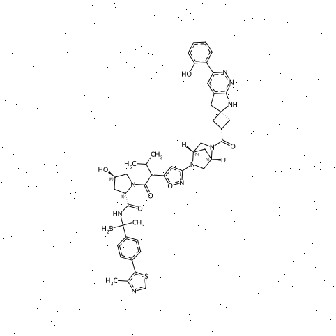 BC(C)(NC(=O)[C@@H]1C[C@@H](O)CN1C(=O)C(c1cc(N2C[C@@H]3C[C@H]2CN3C(=O)[C@H]2C[C@@]3(Cc4cc(-c5ccccc5O)nnc4N3)C2)no1)C(C)C)c1ccc(-c2scnc2C)cc1